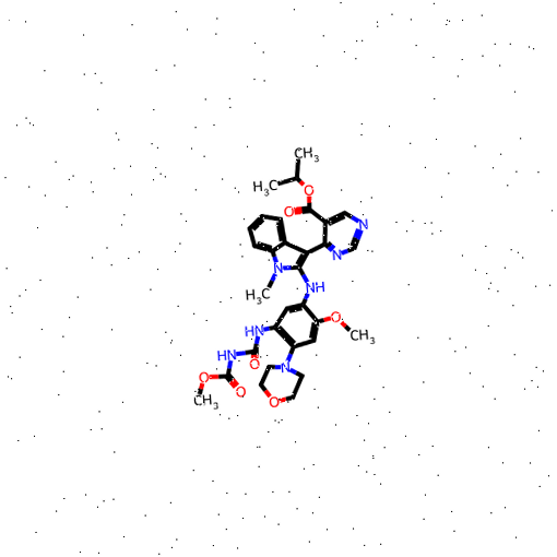 COC(=O)NC(=O)Nc1cc(Nc2c(-c3ncncc3C(=O)OC(C)C)c3ccccc3n2C)c(OC)cc1N1CCOCC1